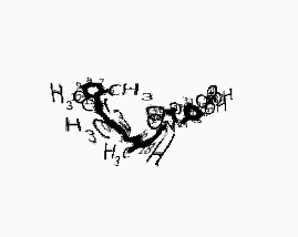 CC(C=CC1=C(C)CCCC1(C)C)=CC=C/C(C)=C\C(=O)N[C@@H](Cc1ccc(OP(=O)(O)O)cc1)C(=O)O